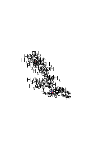 CCN[C@H]1CO[C@@H](O[C@H]2[C@H](O[C@H]3C#CC=CC#C[C@]4(O)CC(=O)C(NC(=O)OC)=C3/C4=C\CSSC(C)(C)c3ccc(C(F)(F)F)cc3)O[C@H](C)[C@@H](NO[C@H]3C[C@H](O)[C@H](SC(=O)c4c(C)c(I)c(O[C@@H]5O[C@@H](C)[C@H](O)[C@@H](OC)[C@H]5O)c(OC)c4OC)[C@@H](C)O3)[C@@H]2O)C[C@@H]1OC